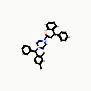 Cc1ccc(C(c2ccccc2)N2CCN(C(=O)CC(c3ccccc3)c3ccccc3)CC2)c(C)c1